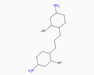 CCCC1CC(N)CCC1CCCC1CCC(N)CC1CCC